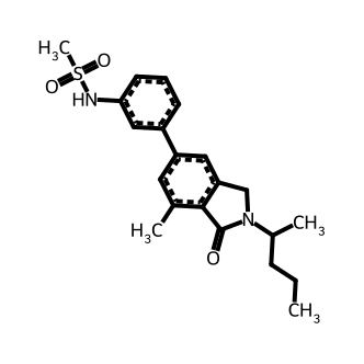 CCCC(C)N1Cc2cc(-c3cccc(NS(C)(=O)=O)c3)cc(C)c2C1=O